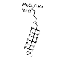 CO[Si](CCCOCC(F)(F)C(F)(F)C(F)(F)C(F)(F)C(F)(F)C(F)(F)C(F)(F)F)(OC)OC